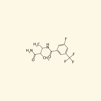 CC(NC(=O)c1cc(F)cc(C(F)(F)F)c1)C(C)C(N)=O